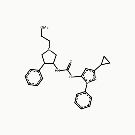 COCCN1CC(NC(=O)Nc2cc(C3CC3)nn2-c2ccccc2)C(c2ccccc2)C1